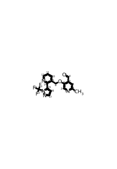 Cc1cc(C=O)c(OCc2cccnc2-c2ccnn2C(F)(F)F)cn1